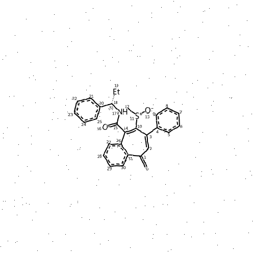 C=C1C=C(c2ccccc2)C([S+](C)[O-])=C(C(=O)N[C@@H](CC)c2ccccc2)c2ccccc21